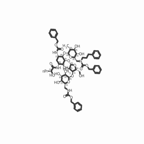 CCC[C@H](O)C(=O)N[C@@H]1C[C@H](NC(=O)OCc2ccccc2)[C@@H](O[C@H]2O[C@H](CN(CCCc3ccccc3)C(=O)OCc3ccccc3)[C@@H](O)[C@H](O)[C@H]2C)[C@H](O[C@@H]2O[C@H](CO)[C@@H](O[C@H]3O[C@@H](CNC(=O)OCc4ccccc4)[C@@H](O)[C@H](O)[C@H]3C)[C@H]2O)[C@H]1O